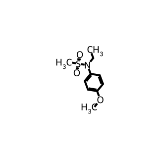 CCN(c1ccc(OC)cc1)S(C)(=O)=O